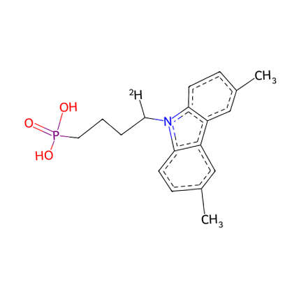 [2H]C(CCCP(=O)(O)O)n1c2ccc(C)cc2c2cc(C)ccc21